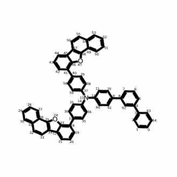 c1ccc(-c2cccc(-c3ccc(N(c4ccc(-c5cccc6c5oc5c7ccccc7ccc65)cc4)c4ccc(-c5cccc6c5oc5c7ccccc7ccc65)cc4)cc3)c2)cc1